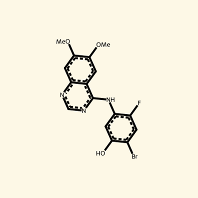 COc1cc2ncnc(Nc3cc(O)c(Br)cc3F)c2cc1OC